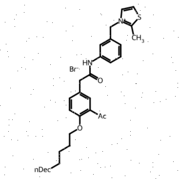 CCCCCCCCCCCCCCOc1ccc(CC(=O)Nc2cccc(C[n+]3ccsc3C)c2)cc1C(C)=O.[Br-]